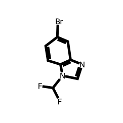 FC(F)n1cnc2cc(Br)ccc21